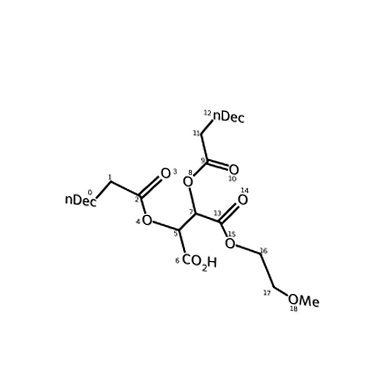 CCCCCCCCCCCC(=O)OC(C(=O)O)C(OC(=O)CCCCCCCCCCC)C(=O)OCCOC